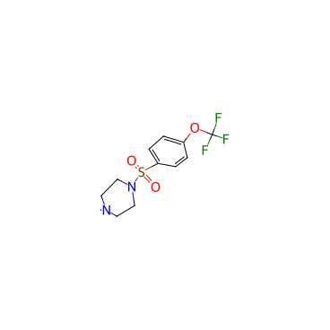 O=S(=O)(c1ccc(OC(F)(F)F)cc1)N1CC[N]CC1